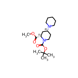 COC(=O)[C@@H]1C[C@H](N2CCCCC2)CCN1C(=O)OC(C)(C)C